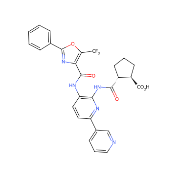 O=C(Nc1ccc(-c2cccnc2)nc1NC(=O)[C@@H]1CCC[C@H]1C(=O)O)c1nc(-c2ccccc2)oc1C(F)(F)F